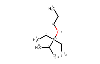 C[CH]CO[Si](CC)(CC)C(C)C